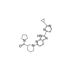 O=C(C1CCCN(c2ccc3nc(-c4ccnc(C5CC5)n4)[nH]c3n2)C1)N1CCCC1